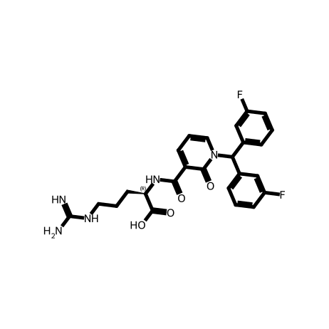 N=C(N)NCCC[C@@H](NC(=O)c1cccn(C(c2cccc(F)c2)c2cccc(F)c2)c1=O)C(=O)O